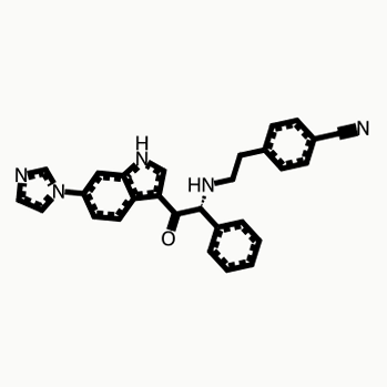 N#Cc1ccc(CCN[C@@H](C(=O)c2c[nH]c3cc(-n4ccnc4)ccc23)c2ccccc2)cc1